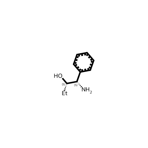 CC[C@H](O)[C@@H](N)c1ccccc1